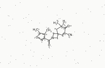 Cc1onc(C(=O)N2CC3(C=C(C#N)C(=O)C(C)(C)C3)C2)c1C